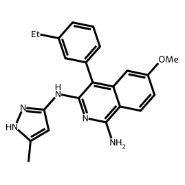 CCc1cccc(-c2c(Nc3cc(C)[nH]n3)nc(N)c3ccc(OC)cc23)c1